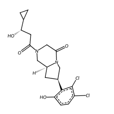 O=C(C[C@H](O)C1CC1)N1CC(=O)N2C[C@@H](c3c(O)ccc(Cl)c3Cl)C[C@H]2C1